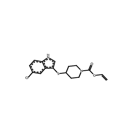 C=COC(=O)N1CCC(Sc2c[nH]c3ccc(Cl)cc23)CC1